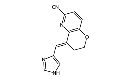 [C-]#[N+]c1ccc2c(n1)/C(=C/c1c[nH]cn1)CCO2